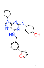 OC1CCC(Nc2nc(NCc3cccc(-c4ccco4)c3)c3ncn(C4CCCC4)c3n2)CC1